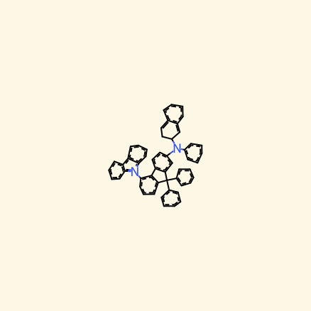 C1=c2ccccc2=CC(N(c2ccccc2)c2ccc3c(c2)C(c2ccccc2)(c2ccccc2)c2cccc(-n4c5ccccc5c5ccccc54)c2-3)C1